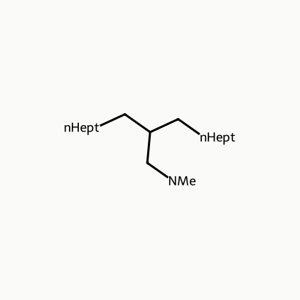 CCCCCCCCC(CCCCCCCC)CNC